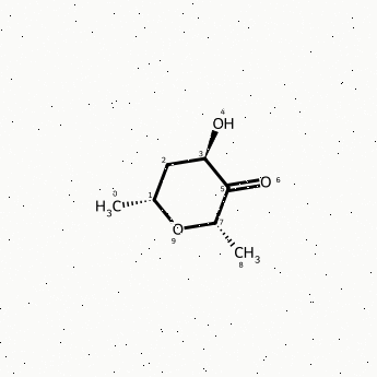 C[C@@H]1C[C@@H](O)C(=O)[C@H](C)O1